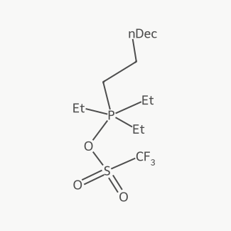 CCCCCCCCCCCCP(CC)(CC)(CC)OS(=O)(=O)C(F)(F)F